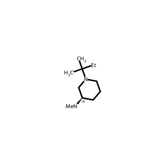 CCC(C)(C)N1CCC[C@@H](NC)C1